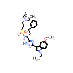 CCN(CC)CCCS(=O)(=O)N[C@H](CCc1ccccc1)c1nc(-c2cn(CC)c3ccc(OC)cc23)n[nH]1